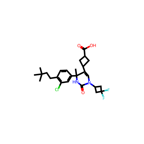 CC(C)(C)CCc1ccc(C2(C)NC(=O)N(C3CC(F)(F)C3)C=C2C2CC(C(=O)O)C2)cc1Cl